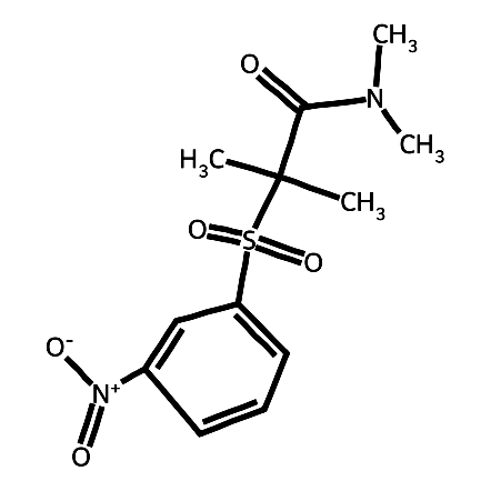 CN(C)C(=O)C(C)(C)S(=O)(=O)c1cccc([N+](=O)[O-])c1